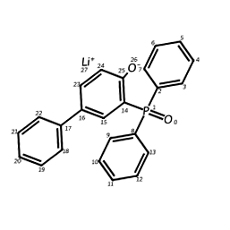 O=P(c1ccccc1)(c1ccccc1)c1cc(-c2ccccc2)ccc1[O-].[Li+]